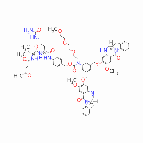 COCCOCCOCCN(C(=O)OCc1ccc(NC(=O)[C@H](CCCNC(N)=O)NC(=O)[C@@H](NC(=O)CCC(C)=O)C(C)C)cc1)c1cc(COc2cc3c(cc2OC)C(=O)N2c4ccccc4C[C@H]2C=N3)cc(COc2cc3c(cc2OC)C(=O)N2c4ccccc4C[C@H]2CN3)c1